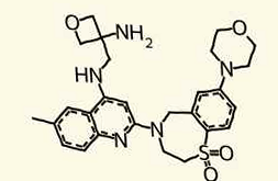 Cc1ccc2nc(N3CCS(=O)(=O)c4ccc(N5CCOCC5)cc4C3)cc(NCC3(N)COC3)c2c1